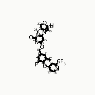 O=c1nc(OCc2cc(F)c(Oc3ccnc(C(F)(F)F)c3)c(F)c2)cc2n1C[C@@]13CO[C@@H](CN21)C3